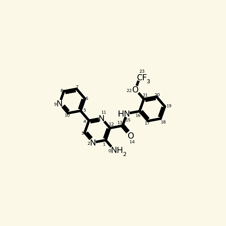 Nc1ncc(-c2cccnc2)nc1C(=O)Nc1ccccc1OC(F)(F)F